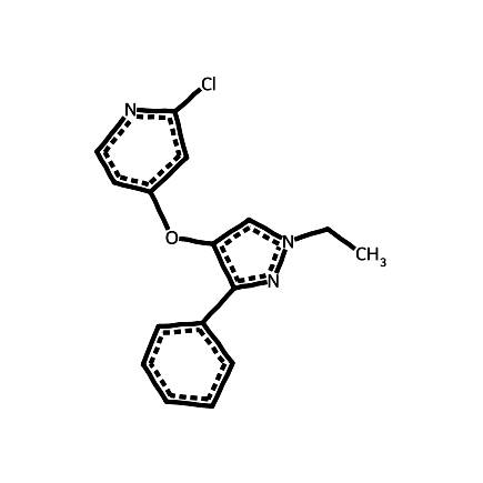 CCn1cc(Oc2ccnc(Cl)c2)c(-c2ccccc2)n1